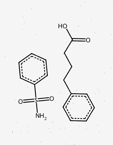 NS(=O)(=O)c1ccccc1.O=C(O)CCCc1ccccc1